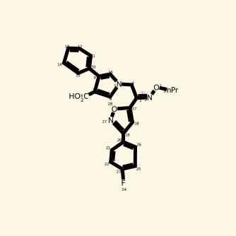 CCCO/N=C(\Cn1cc(C(=O)O)c(-c2ccccc2)c1)c1cc(-c2ccc(F)cc2)no1